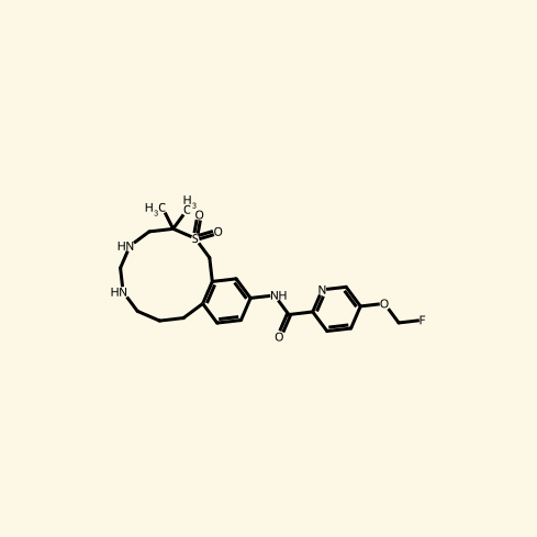 CC1(C)CNCNCCCc2ccc(NC(=O)c3ccc(OCF)cn3)cc2CS1(=O)=O